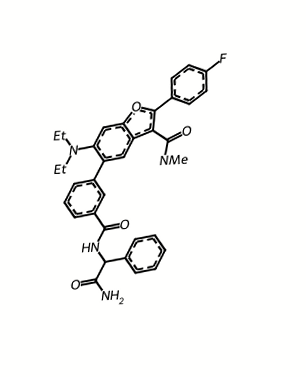 CCN(CC)c1cc2oc(-c3ccc(F)cc3)c(C(=O)NC)c2cc1-c1cccc(C(=O)NC(C(N)=O)c2ccccc2)c1